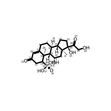 C[C@]12C[C@H](O)[C@H]3[C@@H](CCC4=CC(=O)CC(P(=O)(O)O)[C@@]43C)[C@@H]1CC[C@]2(O)C(=O)CO